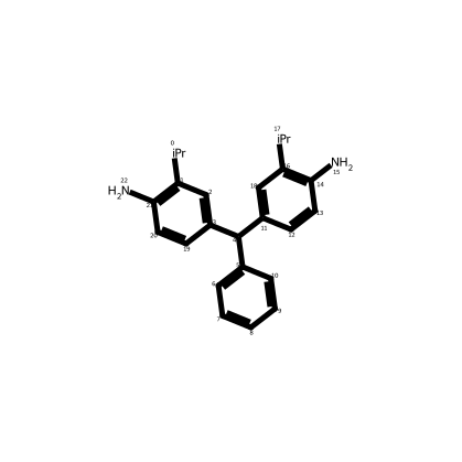 CC(C)c1cc(C(c2ccccc2)c2ccc(N)c(C(C)C)c2)ccc1N